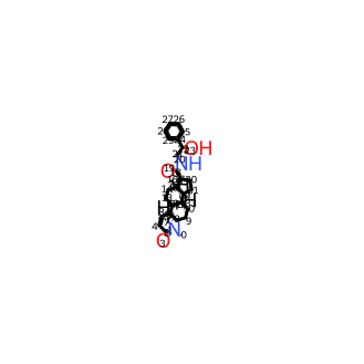 CN1C(=O)C=C[C@@]2(C)C1CC[C@@H]1[C@H]2CC[C@]2(C)C(C(=O)NCC(O)c3ccccc3)CC[C@@H]12